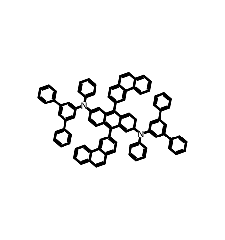 C1=c2c(-c3ccc4ccc5ccccc5c4c3)c3ccc(N(c4ccccc4)c4cc(-c5ccccc5)cc(-c5ccccc5)c4)cc3c(-c3ccc4ccc5ccccc5c4c3)c2=CCC1N(c1ccccc1)c1cc(-c2ccccc2)cc(-c2ccccc2)c1